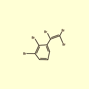 BrC(Br)=C(Br)c1cccc(Br)c1Br